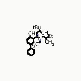 C=C(CC)C[N+](=C/C)/C(=C\C(=C)C(C)(C)C)C1CC(c2ccccc2)=CC=C1C